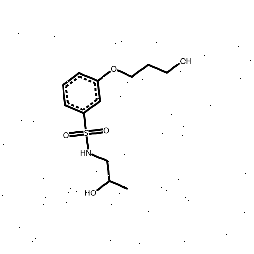 CC(O)CNS(=O)(=O)c1cccc(OCCCO)c1